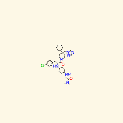 CN(C)C(=O)CN[C@H]1CC[C@H](N[C@H](Cc2ccc(Cl)cc2)C(=O)N2CCC(Cn3cncn3)(C3CCCCC3)CC2)CC1